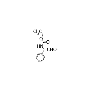 O=[C][C@@H](NC(=O)OCC(Cl)(Cl)Cl)c1ccccc1